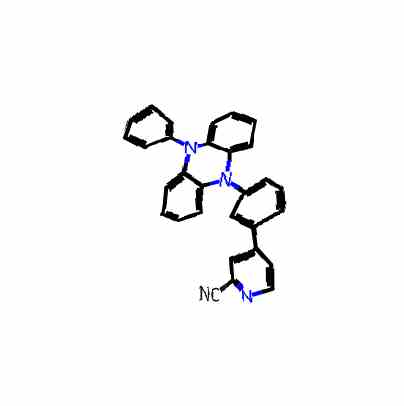 N#Cc1cc(-c2cccc(N3c4ccccc4N(c4ccccc4)c4ccccc43)c2)ccn1